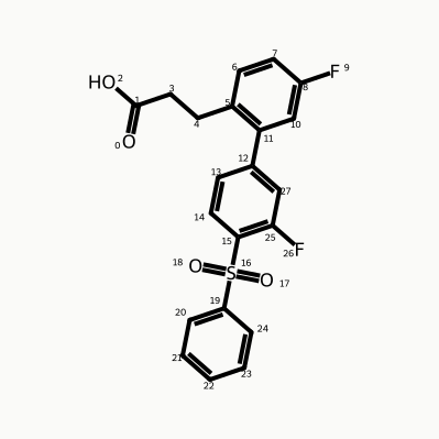 O=C(O)CCc1ccc(F)cc1-c1ccc(S(=O)(=O)c2ccccc2)c(F)c1